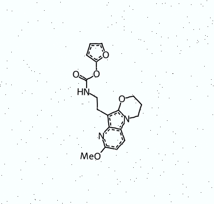 COc1ccc2c(n1)c(CCNC(=O)Oc1ccco1)c1n2CCCO1